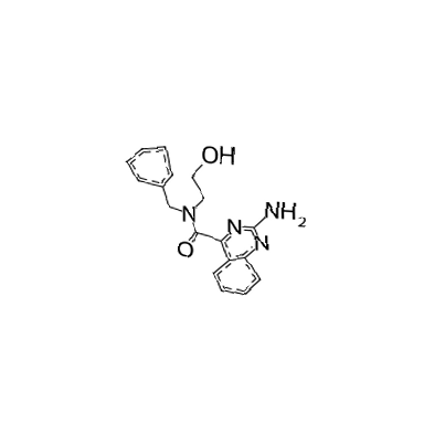 Nc1nc(C(=O)N(CCO)Cc2ccccc2)c2ccccc2n1